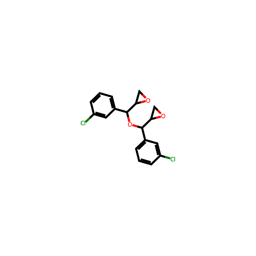 Clc1cccc(C(OC(c2cccc(Cl)c2)C2CO2)C2CO2)c1